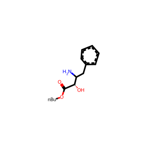 CCCCOC(=O)[C@@H](O)C(N)Cc1ccccc1